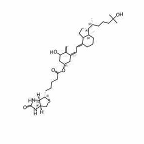 C=C1/C(=C\C=C2CCC[C@@]3(C)C2CC[C@@H]3[C@H](C)CCCC(C)(C)O)C[C@@H](OC(=O)CCCC[C@@H]2SC[C@@H]3NC(=O)N[C@@H]32)CC1O